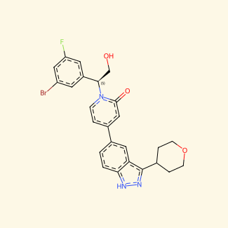 O=c1cc(-c2ccc3[nH]nc(C4CCOCC4)c3c2)ccn1[C@H](CO)c1cc(F)cc(Br)c1